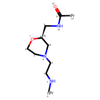 CCCNCCN1CCO[C@@H](CNC(=O)C(C)C)C1